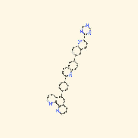 c1cnc2c(c1)cc(-c1ccc(-c3ccc4cc(-c5ccc6nc(-c7ncncn7)ccc6c5)ccc4n3)cc1)c1cccnc12